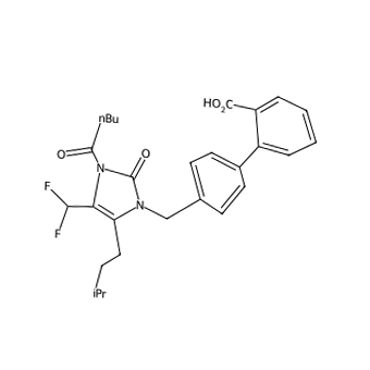 CCCCC(=O)n1c(C(F)F)c(CCC(C)C)n(Cc2ccc(-c3ccccc3C(=O)O)cc2)c1=O